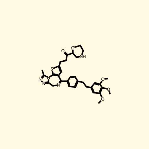 COc1cc(CCc2ccc(C3=NCc4nnc(C)n4-c4sc(CCC(=O)C5CNCCO5)cc43)cc2)cc(OC)c1OC